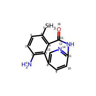 Nc1ccc([SiH3])c2c1-c1ccc(nc1)NC2=O